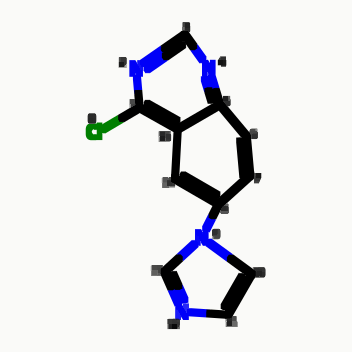 Clc1ncnc2ccc(-n3ccnc3)cc12